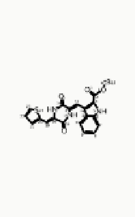 CC(C)(C)OC(=O)c1[nH]c2ccccc2c1/C=c1\[nH]c(=O)/c(=C/c2cccs2)[nH]c1=O